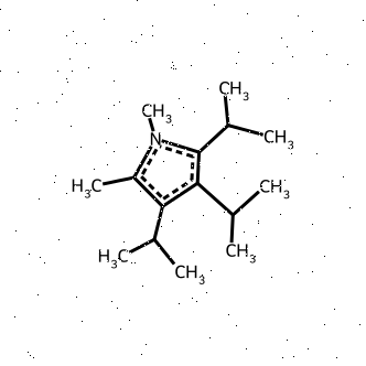 Cc1c(C(C)C)c(C(C)C)c(C(C)C)n1C